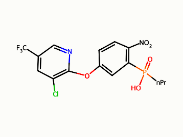 CCCP(=O)(O)c1cc(Oc2ncc(C(F)(F)F)cc2Cl)ccc1[N+](=O)[O-]